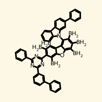 Bc1c(B)c(-n2c3ccccc3c3ccc(-c4ccccc4)cc32)c2c(oc3c(B)c(-c4nc(-c5ccccc5)nc(-c5cccc(-c6ccccc6)c5)n4)c(B)c(B)c32)c1B